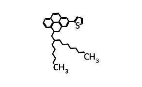 CCCCCCCCC(CCCCCC)CC1Cc2cc(-c3cccs3)cc3ccc4cccc1c4c23